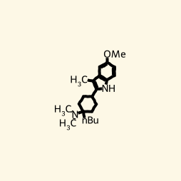 CCCCC1(N(C)C)CCC(c2[nH]c3ccc(OC)cc3c2C)CC1